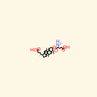 C[C@H](CCC(=O)O)C1CC[C@H]2[C@@H]3CC[C@@H]4C[C@H](OC(=O)[C@@H](N)CCC(=O)O)CC[C@]4(C)[C@H]3C=C[C@]12C